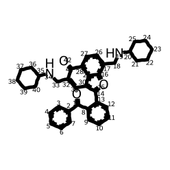 O=C(c1ccccc1)c1ccccc1-c1oc2c(CNC3CCCCC3)ccc3c2c1C=C(CNC1CCCCC1)C3=O